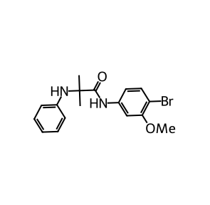 COc1cc(NC(=O)C(C)(C)Nc2ccccc2)ccc1Br